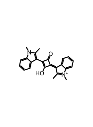 CC1=[N+](C)c2ccccc2/C1=C1\C(=O)C(c2c(C)n(C)c3ccccc23)=C1O